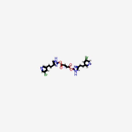 O=C(/C=C/C(=O)Oc1nc(CCc2cncc(Br)c2)c[nH]1)Oc1nc(CCc2cncc(Br)c2)c[nH]1